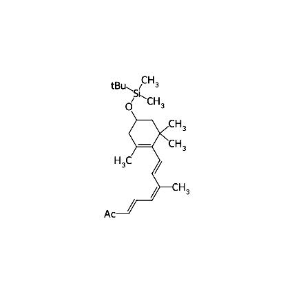 CC(=O)/C=C/C=C(C)\C=C\C1=C(C)CC(O[Si](C)(C)C(C)(C)C)CC1(C)C